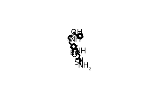 Nc1nc(CC(=O)Nc2ccc(C[C@H]3CC[C@H](C(O)c4ccccc4)N3)cc2Br)cs1